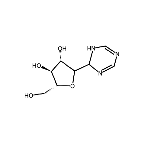 OC[C@H]1OC(C2N=CN=CN2)[C@@H](O)[C@@H]1O